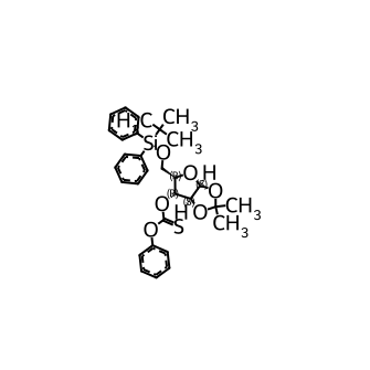 CC1(C)O[C@@H]2O[C@H](CO[Si](c3ccccc3)(c3ccccc3)C(C)(C)C)[C@@H](OC(=S)Oc3ccccc3)[C@@H]2O1